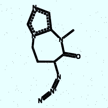 CN1C(=O)C(N=[N+]=[N-])CCn2cncc21